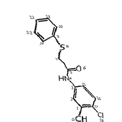 Cc1cc(NC(=O)CSc2ccccc2)ccc1Cl